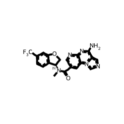 CN(C(=O)c1cnc2nc(N)c3cncn3c2c1)[C@@H]1COc2cc(C(F)(F)F)ccc21